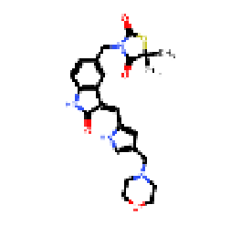 CC1(C)SC(=O)N(Cc2ccc3c(c2)C(=Cc2cc(CN4CCOCC4)c[nH]2)C(=O)N3)C1=O